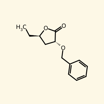 CC[C@@H]1C[C@@H](OCc2ccccc2)C(=O)O1